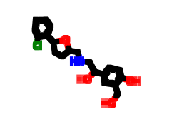 OCc1cc(C(O)CNCC2CCC(c3ccccc3Cl)O2)ccc1O